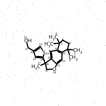 CC1(C)CCC(C)(C)c2cc3c(cc21)OCC3(C)c1cc(CO)cs1